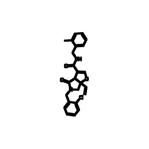 C=CC12CN(Cc3ccccc3Cl)C(=O)C1C(C(=O)NCc1ccccc1C)=CO2